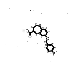 O=C(O)C1=Cc2cc(OCc3ccc(F)cc3)ccc2CCC1